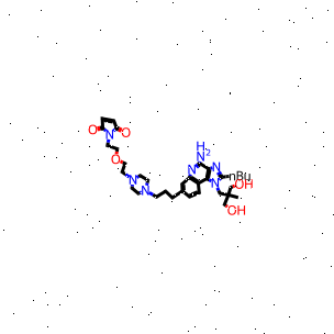 CCCCc1nc2c(N)nc3cc(CCCN4CCN(CCOCCN5C(=O)C=CC5=O)CC4)ccc3c2n1CC(C)(CO)CO